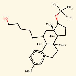 COc1ccc2c(c1)CCC1(C=O)[C@@H]2[C@@H](CCCCCO)C[C@]2(C)[C@@H](O[Si](C)(C)C(C)(C)C)CC[C@@H]12